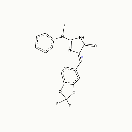 CN(C1=N/C(=C\c2ccc3c(c2)OC(F)(F)O3)C(=O)N1)c1ccccc1